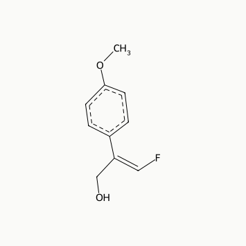 COc1ccc(/C(=C\F)CO)cc1